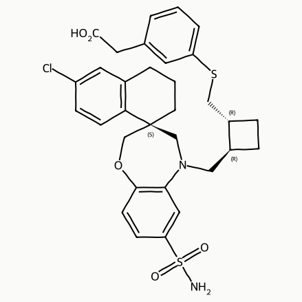 NS(=O)(=O)c1ccc2c(c1)N(C[C@@H]1CC[C@H]1CSc1cccc(CC(=O)O)c1)C[C@@]1(CCCc3cc(Cl)ccc31)CO2